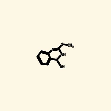 CSC1=Nc2ccccc2C(S)N1